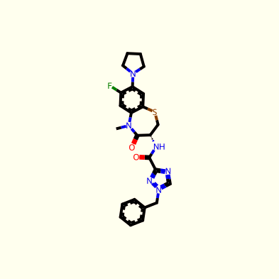 CN1C(=O)[C@@H](NC(=O)c2ncn(Cc3ccccc3)n2)CSc2cc(N3CCCC3)c(F)cc21